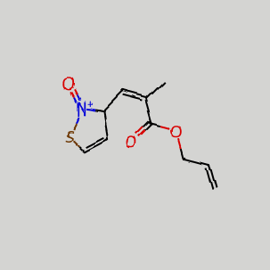 C=CCOC(=O)C(C)=CC1C=CS[N+]1=O